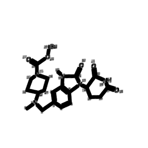 CN(Cc1ccc2c(c1)n(C)c(=O)n2C1CCC(=O)NC1=O)C1CCN(C(=O)OC(C)(C)C)CC1